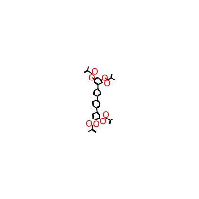 C=C(C)C(=O)Oc1cc(OC(=O)C(=C)C)cc(-c2ccc(-c3ccc(-c4ccc(OC(=O)C(=C)C)c(OC(=O)C(=C)C)c4)cc3)cc2)c1